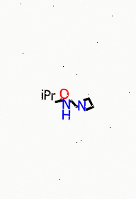 CC(C)CC(=O)NCCN1CCCC1